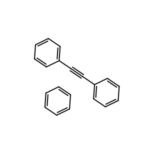 C(#Cc1ccccc1)c1ccccc1.c1ccccc1